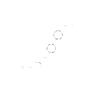 CCOC(=O)CCc1ccc(-c2ccc(OC)cc2)cc1